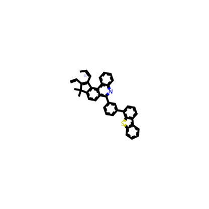 C=CC1=C(/C=C\C)c2c(ccc3c(-c4cccc(-c5cccc6c5sc5ccccc56)c4)nc4ccccc4c23)C1(C)C